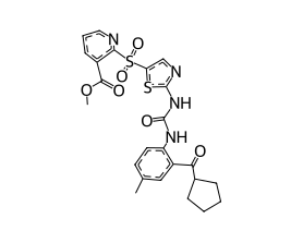 COC(=O)c1cccnc1S(=O)(=O)c1cnc(NC(=O)Nc2ccc(C)cc2C(=O)C2CCCC2)s1